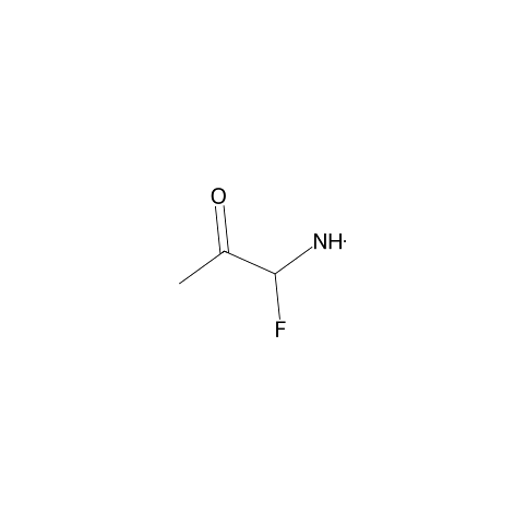 CC(=O)C([NH])F